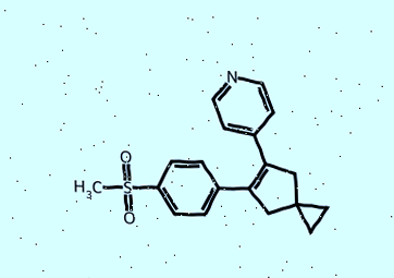 CS(=O)(=O)c1ccc(C2=C(c3ccncc3)CC3(CC3)C2)cc1